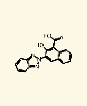 O=C(O)c1c(O)c(-n2nc3ccccc3n2)cc2ccccc12